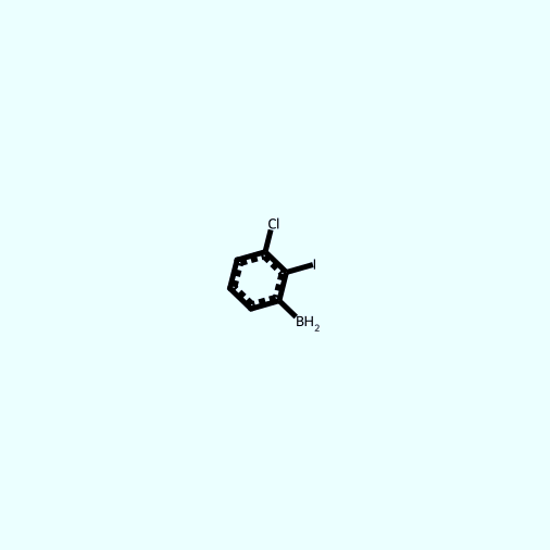 Bc1cccc(Cl)c1I